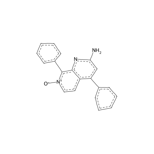 Nc1cc(-c2ccccc2)c2cc[n+]([O-])c(-c3ccccc3)c2n1